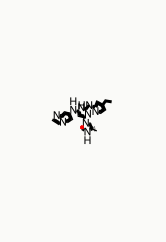 CCc1ccnc(Nc2nc(Nc3ccn4ccnc4c3)cc(N3CCN[C@H](C)C3)n2)c1